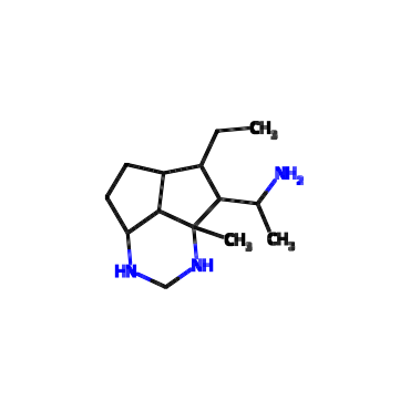 CCC1C2CCC3NCNC(C)(C1C(C)N)C32